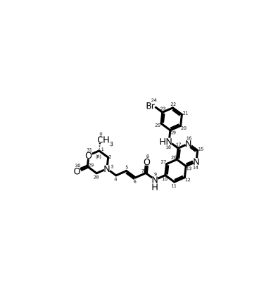 C[C@@H]1CN(CC=CC(=O)Nc2ccc3ncnc(Nc4cccc(Br)c4)c3c2)CC(=O)O1